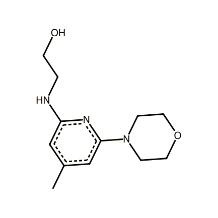 Cc1cc(NCCO)nc(N2CCOCC2)c1